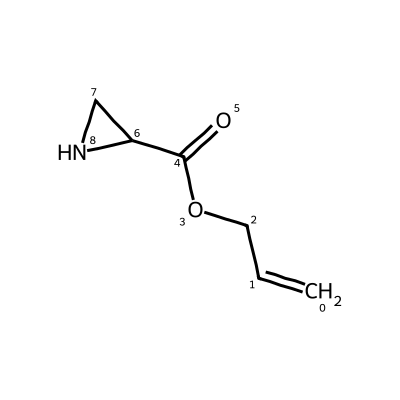 C=CCOC(=O)C1CN1